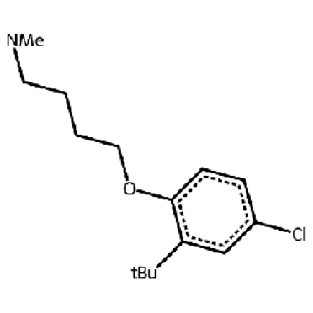 CNCCCCOc1ccc(Cl)cc1C(C)(C)C